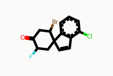 O=C1CC(Br)C2(C=Cc3c(Cl)cccc32)CC1F